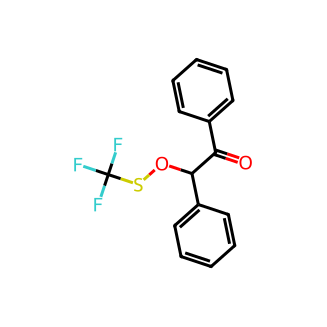 O=C(c1ccccc1)C(OSC(F)(F)F)c1ccccc1